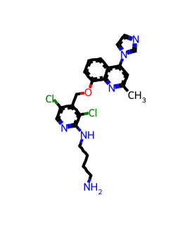 Cc1cc(-n2ccnc2)c2cccc(OCc3c(Cl)cnc(NCCCCN)c3Cl)c2n1